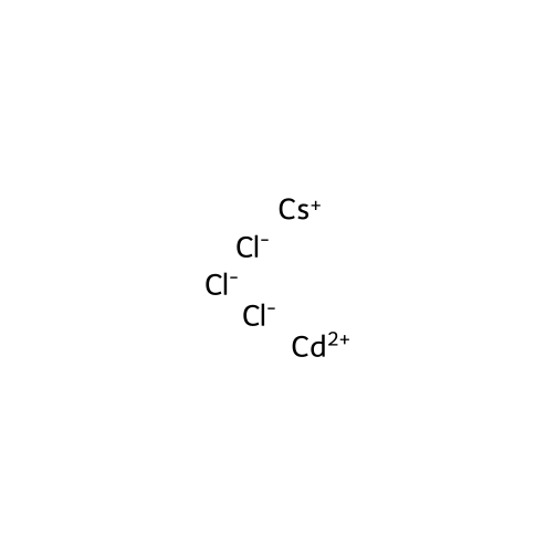 [Cd+2].[Cl-].[Cl-].[Cl-].[Cs+]